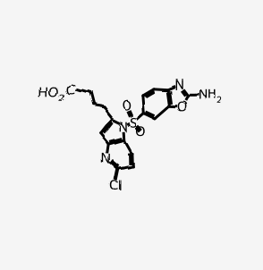 Nc1nc2ccc(S(=O)(=O)n3c(CCCC(=O)O)cc4nc(Cl)ccc43)cc2o1